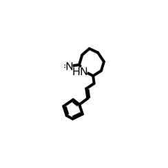 [N]C1CCCCCC(CC=Cc2ccccc2)N1